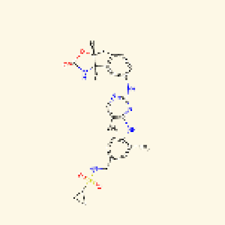 Cc1cc(CNS(=O)(=O)C2CC2)ccc1Nc1nc(Nc2ccc3c(c2)[C@@H]2NC(=O)O[C@@H]2C3)ncc1C